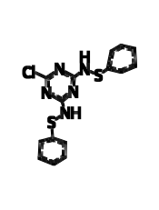 Clc1nc(NSc2ccccc2)nc(NSc2ccccc2)n1